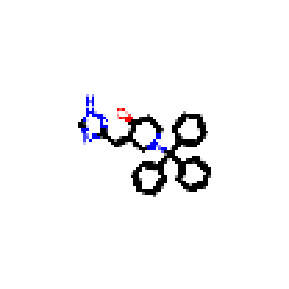 O=C1CCN(C(c2ccccc2)(c2ccccc2)c2ccccc2)CC1=Cc1nc[nH]n1